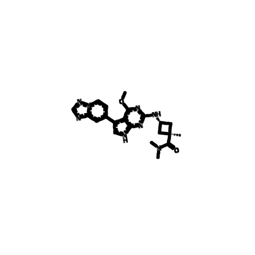 COc1nc(N[C@H]2C[C@](C)(C(=O)N(C)C)C2)nc2[nH]cc(-c3ccn4ncnc4c3)c12